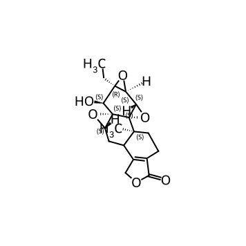 CC[C@]12O[C@H]1[C@@H]1O[C@]13[C@]1(O[C@H]1CC1C4=C(CC[C@@]13C)C(=O)OC4)[C@H]2O